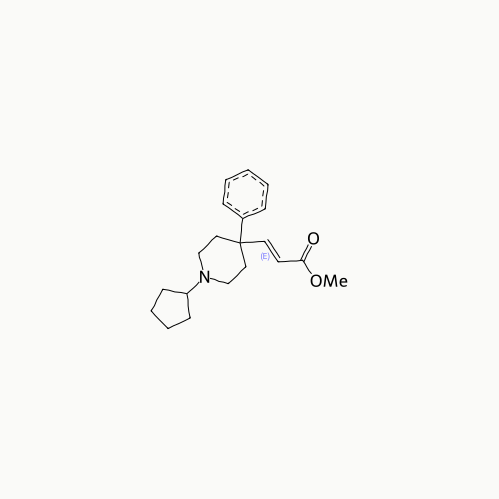 COC(=O)/C=C/C1(c2ccccc2)CCN(C2CCCC2)CC1